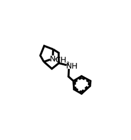 CN1C2CCC1CC(NCc1ccccc1)C2